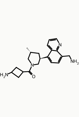 C[C@@H]1C[C@@H](c2ccc(CN)c3ncccc23)CN(C(=O)C2CC(N)C2)C1